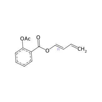 C=C/C=C/OC(=O)c1ccccc1OC(C)=O